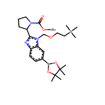 CC(C)(C)OC(=O)N1CCCC1c1nc2ccc(B3OC(C)(C)C(C)(C)O3)cc2n1COCC[Si](C)(C)C